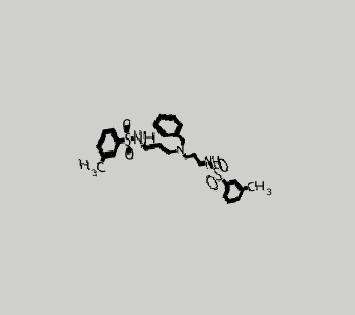 Cc1cccc(S(=O)(=O)NCCCN(CCCNS(=O)(=O)c2cccc(C)c2)Cc2ccccc2)c1